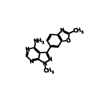 Cc1nc2ccc(-c3nn(C)c4ncnc(N)c34)cc2o1